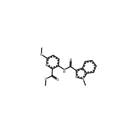 COC(=O)c1nc(OC)ccc1NC(=O)c1nn(C)c2ccccc12